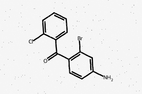 Nc1ccc(C(=O)c2ccccc2Cl)c(Br)c1